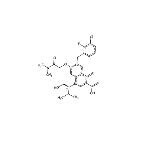 CC(C)[C@@H](CO)n1cc(C(=O)O)c(=O)c2cc(Cc3cccc(Cl)c3F)c(OCC(=O)N(C)C)cc21